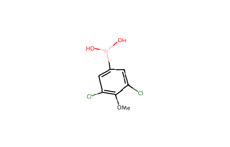 COc1c(Cl)cc(B(O)O)cc1Cl